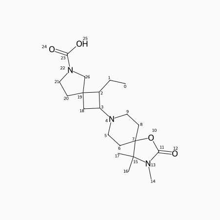 CCC1C(N2CCC3(CC2)OC(=O)N(C)C3(C)C)CC12CCN(C(=O)O)C2